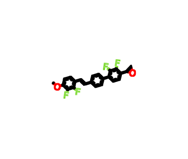 COc1ccc(/C=C/c2ccc(-c3ccc(C4CO4)c(F)c3F)cc2)c(F)c1F